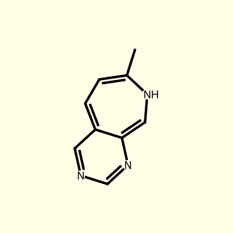 CC1=CC=c2cncnc2=CN1